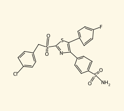 NS(=O)(=O)c1ccc(-c2nc(S(=O)(=O)Cc3ccc(Cl)cc3)sc2-c2ccc(F)cc2)cc1